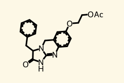 CC(=O)OCCOc1ccc2c(c1)CN1C(=N2)NC(=O)C1Cc1ccccc1